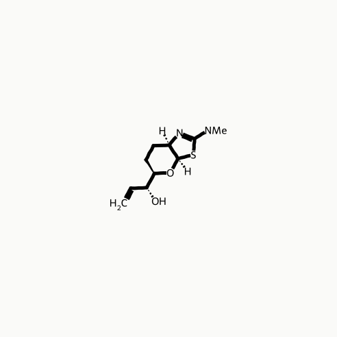 C=C[C@@H](O)[C@H]1CC[C@H]2N=C(NC)S[C@H]2O1